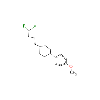 FC(F)C/C=C/C1CCC(c2ccc(OC(F)(F)F)cc2)CC1